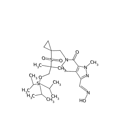 CC(C)[Si](OCC(C)(C)S(=O)(=O)C1(CN2CCc3c(/C=N/O)nn(C)c3C2=O)CC1)(C(C)C)C(C)C